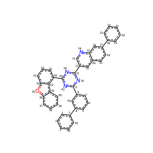 c1ccc(-c2cccc(-c3nc(-c4cnc5cc(-c6ccccc6)ccc5c4)nc(-c4cccc5oc6ccccc6c45)n3)c2)cc1